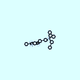 c1ccc(-c2cccc(N(c3ccc(-c4ccc5c(c4)oc4cc6nc(-c7ccccc7)oc6cc45)cc3)c3cc4ccccc4c4ccccc34)c2)cc1